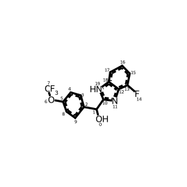 OC(c1ccc(OC(F)(F)F)cc1)c1nc2c(F)cccc2[nH]1